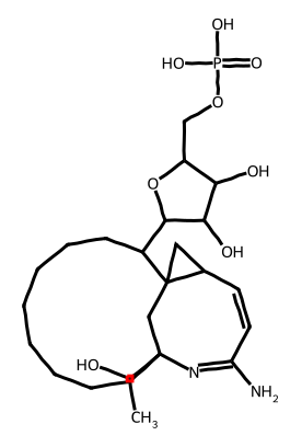 CC(O)C12CCCCCCCCC(C3OC(COP(=O)(O)O)C(O)C3O)C3(CC3/C=C\C(N)=N/1)C2